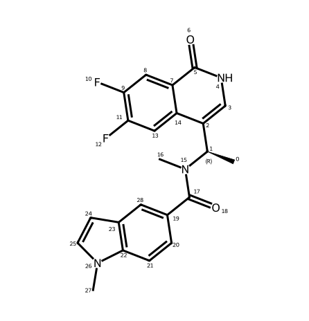 C[C@H](c1c[nH]c(=O)c2cc(F)c(F)cc12)N(C)C(=O)c1ccc2c(ccn2C)c1